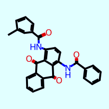 Cc1cccc(C(=O)Nc2ccc(NC(=O)c3ccccc3)c3c2C(=O)c2ccccc2C3=O)c1